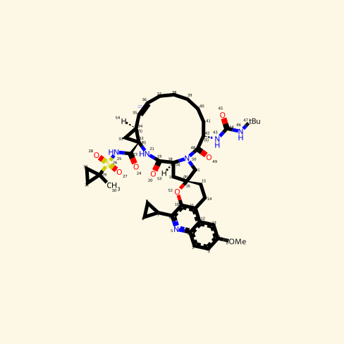 COc1ccc2nc(C3CC3)c3c(c2c1)CC[C@]1(C[C@H]2C(=O)N[C@]4(C(=O)NS(=O)(=O)C5(C)CC5)C[C@H]4/C=C\CCCCC[C@H](NC(=O)NC(C)(C)C)C(=O)N2C1)O3